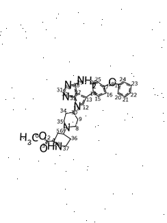 COC(=O)C1CC(N2CCC(n3cc(-c4ccc(Oc5ccccc5)cc4)c4c(N)ncnc43)CC2)CCN1